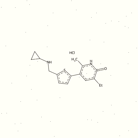 CCc1cc(-c2ccc(CNC3CC3)s2)c(C)[nH]c1=O.Cl